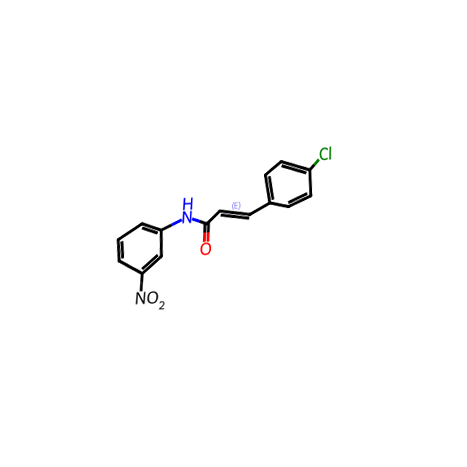 O=C(/C=C/c1ccc(Cl)cc1)Nc1cccc([N+](=O)[O-])c1